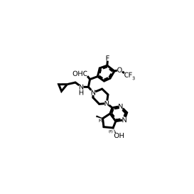 C[C@@H]1C[C@@H](O)c2ncnc(N3CCN(C(NCC4CC4)C(C=O)c4ccc(OC(F)(F)F)c(F)c4)CC3)c21